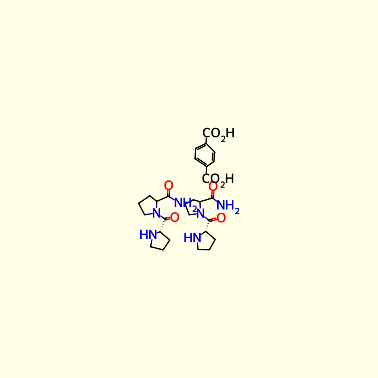 NC(=O)C1CCCN1C(=O)[C@@H]1CCCN1.NC(=O)C1CCCN1C(=O)[C@@H]1CCCN1.O=C(O)c1ccc(C(=O)O)cc1